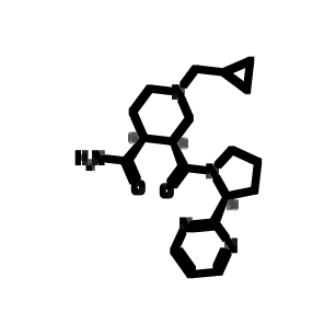 NC(=O)[C@H]1CCN(CC2CC2)C[C@H]1C(=O)N1CCC[C@H]1c1ncccn1